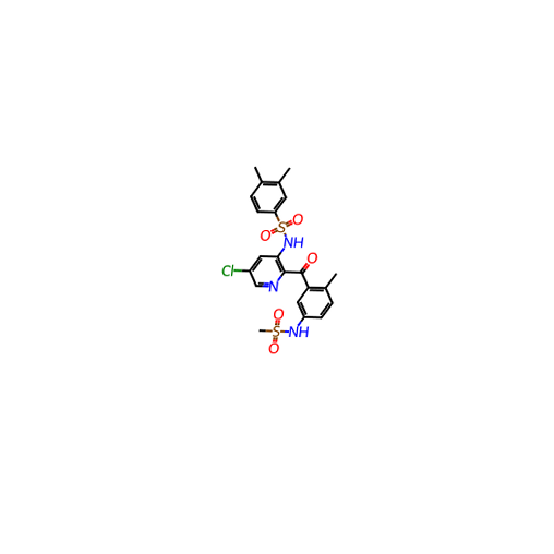 Cc1ccc(S(=O)(=O)Nc2cc(Cl)cnc2C(=O)c2cc(NS(C)(=O)=O)ccc2C)cc1C